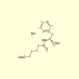 CCCCCCCCCCCCCCC(=O)N[C@@H](Cc1ccccc1)C(=O)[O-].[Na+]